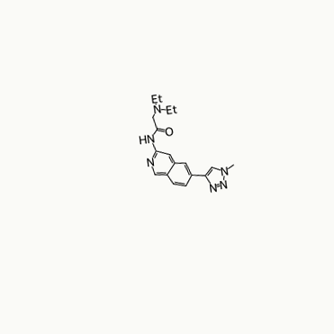 CCN(CC)CC(=O)Nc1cc2cc(-c3cn(C)nn3)ccc2cn1